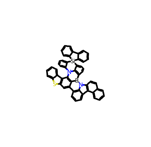 c1ccc2c(c1)-c1ccccc1[Si]21c2ccccc2N2c3c(cccc31)B1c3c(cc4sc5ccccc5c4c32)-c2cccc3c4c5ccccc5ccc4n1c23